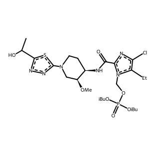 CCc1c(Cl)nc(C(=O)N[C@@H]2CCN(c3nnc(C(C)O)s3)C[C@@H]2OC)n1COP(=O)(OCC(C)C)OCC(C)C